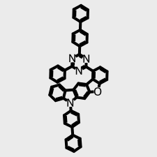 c1ccc(-c2ccc(-c3nc(-c4ccccc4)nc(-c4cccc5oc6cc7c(cc6c45)c4ccccc4n7-c4ccc(-c5ccccc5)cc4)n3)cc2)cc1